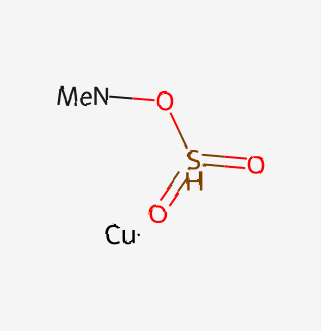 CNO[SH](=O)=O.[Cu]